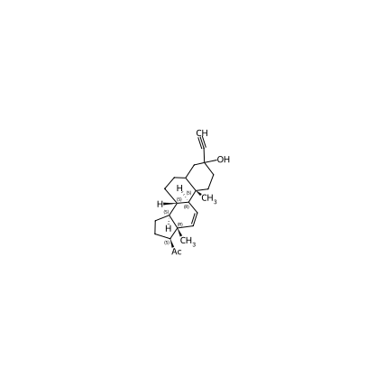 C#CC1(O)CC[C@@]2(C)C(CC[C@H]3[C@@H]4CC[C@H](C(C)=O)[C@@]4(C)C=C[C@@H]32)C1